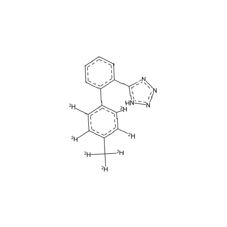 [2H]c1c([2H])c(C([2H])([2H])[2H])c([2H])c([2H])c1-c1ccccc1-c1nnn[nH]1